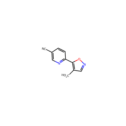 N#Cc1ccc(-c2oncc2C(=O)O)nc1